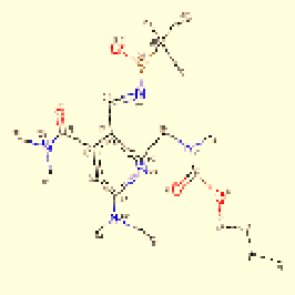 CCCCOC(=O)N(C)Cc1nc(N(C)C)cc(C(=O)N(C)C)c1/C=N/[S+]([O-])C(C)(C)C